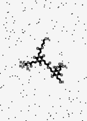 CCCCOC(=O)CCn1c(=O)n(CCC(=O)OCCn2c(=O)n(CCO)c(=O)n(CC(C)(C)O)c2=O)c(=O)n(CCC(=O)OC(C)(C)C)c1=O